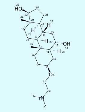 CN(C)CCO[C@H]1CC[C@@]2(C)[C@H](C1)[C@@H](O)C[C@@H]1[C@@H]2CC[C@]2(C)[C@@H](O)CC[C@@H]12